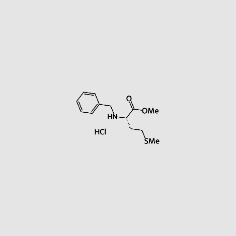 COC(=O)[C@H](CCSC)NCc1ccccc1.Cl